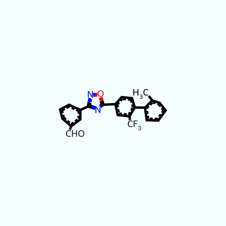 Cc1ccccc1-c1ccc(-c2nc(-c3cccc(C=O)c3)no2)cc1C(F)(F)F